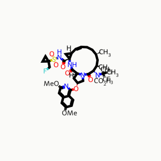 COc1ccc2c(O[C@@H]3C[C@H]4C(=O)N[C@]5(C(=O)NS(=O)(=O)C6(CF)CC6)C[C@H]5/C=C\CC[C@H](C)C[C@@H](C)[C@H](N(C(=O)O)C(C)(C)C(F)(F)F)C(=O)N4C3)nc(OC)cc2c1